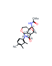 COC(=O)N[C@H]1C[C@@]2(C)O[C@@]13CCO[C@H]1[C@@H]3[C@@H]2C(=O)N1c1ccc(C#N)c(C)c1C